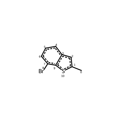 Cc1cc2cccc(Br)c2s1